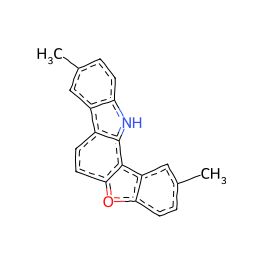 Cc1ccc2[nH]c3c(ccc4oc5ccc(C)cc5c43)c2c1